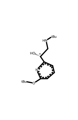 CC(C)(C)NC[C@@H](O)c1cccc(OC(C)(C)C)n1